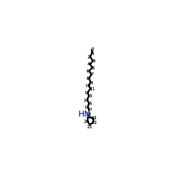 CCCCCCCCCCCCCCCCCCNC1CCCC1